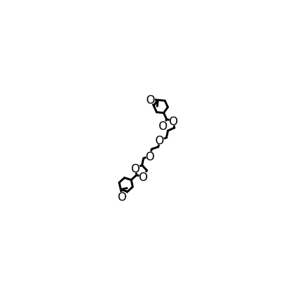 CC12CCC(C3OCC(COCCOCC4COC(C5CCC6(C)OC6C5)O4)O3)CC1O2